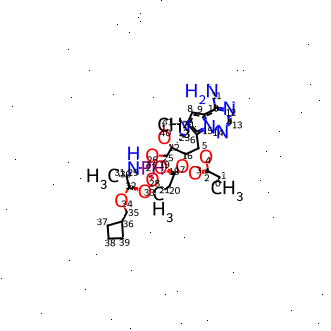 CCC(=O)O[C@@H](c1ccc2c(N)ncnn12)[C@H](OC(=O)CC)[C@@](C#N)(CO[PH](=O)N[C@@H](C)C(=O)OCC1CCC1)OC